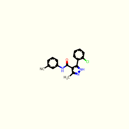 Cc1n[nH]c(-c2ccccc2Cl)c1C(=O)Nc1cccc(C#N)c1